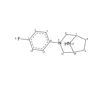 Fc1ccc(N2CC3CCC(C2)N3)cc1